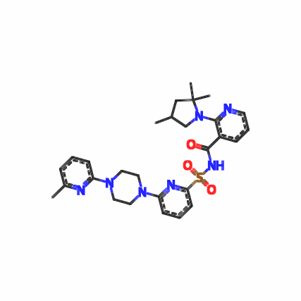 Cc1cccc(N2CCN(c3cccc(S(=O)(=O)NC(=O)c4cccnc4N4CC(C)CC4(C)C)n3)CC2)n1